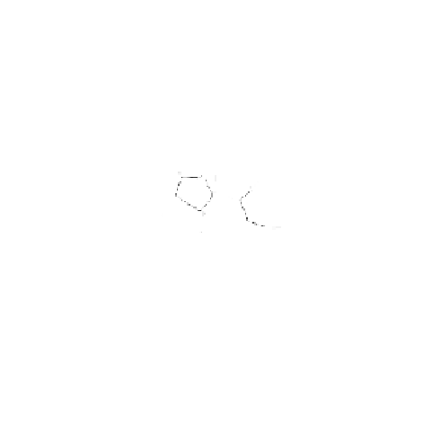 OCC(O)[C@H]1NC[C@@H](O)[C@H]1O